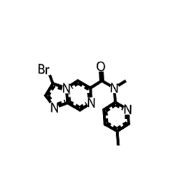 Cc1ccc(N(C)C(=O)c2cn3c(Br)cnc3cn2)nc1